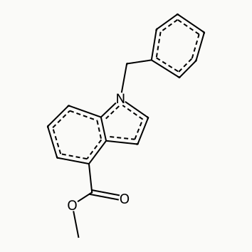 COC(=O)c1cccc2c1ccn2Cc1ccccc1